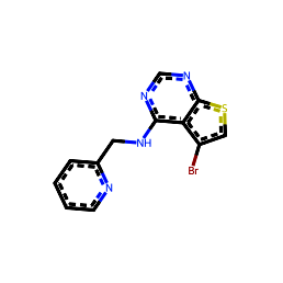 Brc1csc2ncnc(NCc3ccccn3)c12